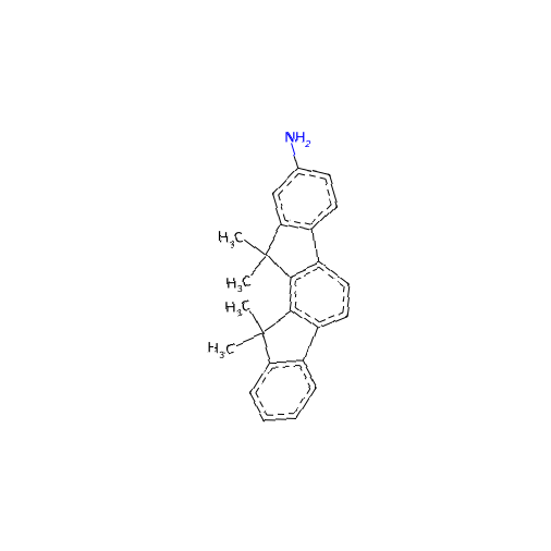 CC1(C)c2ccccc2-c2ccc3c(c21)C(C)(C)c1cc(N)ccc1-3